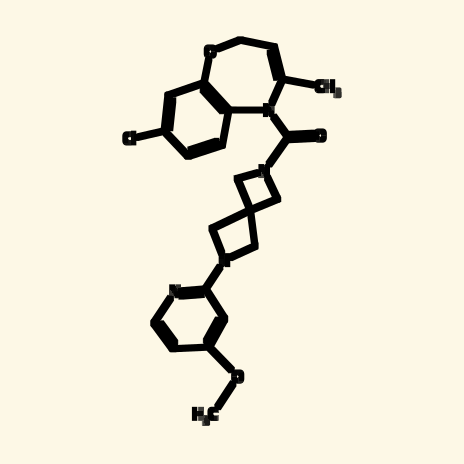 COc1ccnc(N2CC3(CN(C(=O)N4C(C)=CCOc5cc(Cl)ccc54)C3)C2)c1